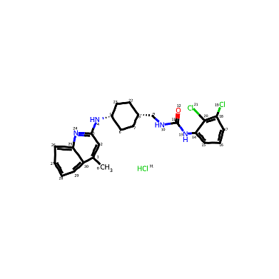 Cc1cc(N[C@H]2CC[C@@H](CNC(=O)Nc3cccc(Cl)c3Cl)CC2)nc2ccccc12.Cl